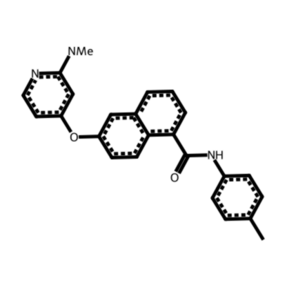 CNc1cc(Oc2ccc3c(C(=O)Nc4ccc(C)cc4)cccc3c2)ccn1